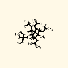 CC(S)CC(=O)C(C)(C(=O)CC(C)S)C(C(=O)CC(C)S)(C(=O)CC(C)S)C(=O)OCC(CO)(CO)CO